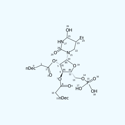 CCCCCCCCCCCC(=O)O[C@H]1[C@H](OC(=O)CCCCCCCCCCC)[C@@H](COP(=O)(O)O)O[C@H]1N1CC(CC)C(O)NC1=O